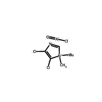 CCCC[N+]1(C)C=NC(Cl)=C1Cl.[O]=[Al][Cl]